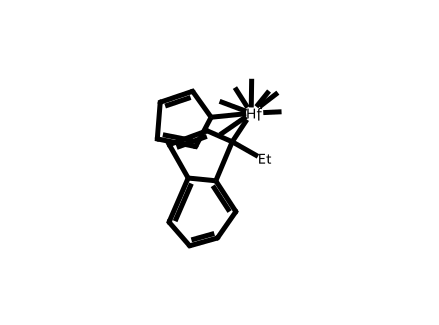 CC[C]1([Hf]([CH3])([CH3])([CH3])([CH3])([CH3])([CH3])([CH3])[CH]2C=CC=C2)C=Cc2ccccc21